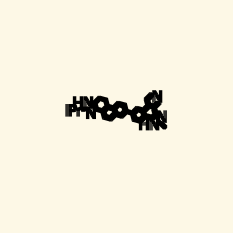 Cc1nc2c3cnccc3c3cc(-c4ccc5c6c(ccc5c4)-c4nc(C(C)C)[nH]c4CC6)ccc3c2[nH]1